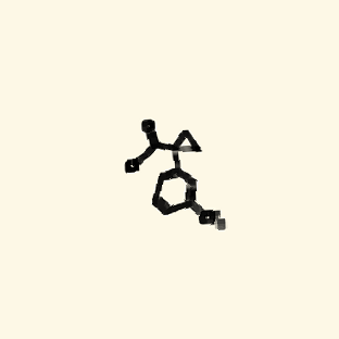 O=C(Cl)C1(c2cccc(C(F)(F)F)c2)CC1